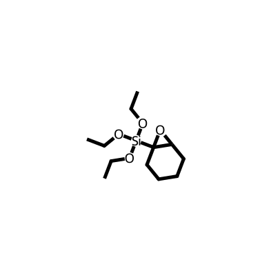 CCO[Si](OCC)(OCC)C12CCCCC1O2